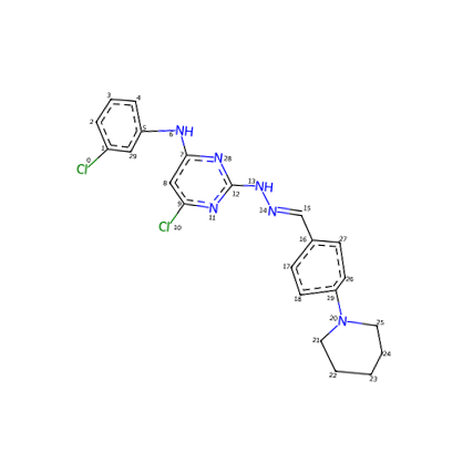 Clc1cccc(Nc2cc(Cl)nc(N/N=C/c3ccc(N4CCCCC4)cc3)n2)c1